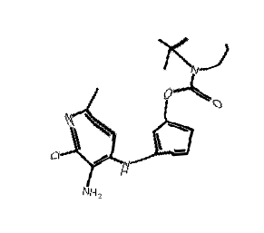 CCN(C(=O)Oc1cccc(Nc2cc(C)nc(Cl)c2N)c1)C(C)(C)C